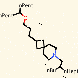 CCCCCCCC(CCCC)CN1CCC2(CC1)CC(CCCOC(CCCCC)CCCCC)C2